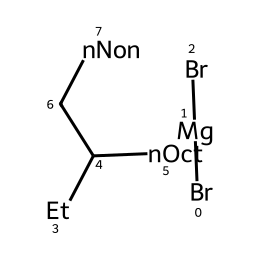 [Br][Mg][Br].[CH2]CC(CCCCCCCC)CCCCCCCCCC